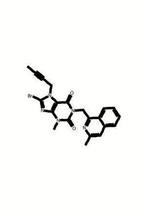 CC#CCn1c(Br)nc2c1c(=O)n(Cc1nc(C)cc3ccccc13)c(=O)n2C